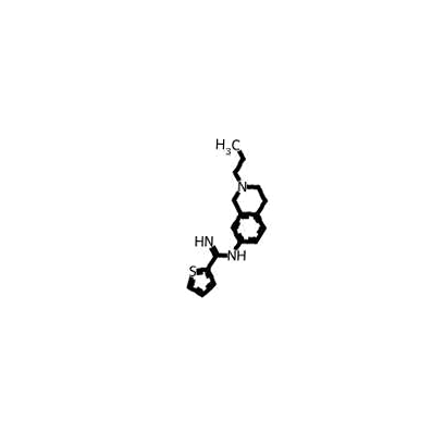 CCCN1CCc2ccc(NC(=N)c3cccs3)cc2C1